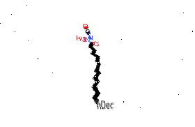 CCCCCCCCCCCCCCCCCCCCCCCC(=O)N(O)N=C=O